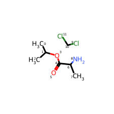 CC(C)OC(=O)C(C)N.ClCCl